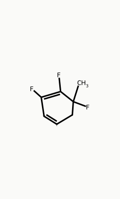 CC1(F)C[C]=CC(F)=C1F